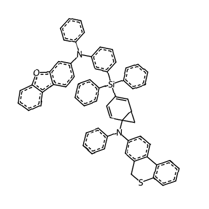 C1=CC2(N(c3ccccc3)c3ccc4c(c3)CSc3ccccc3-4)CC2C=C1[Si](c1ccccc1)(c1ccccc1)c1cccc(N(c2ccccc2)c2ccc3c(c2)oc2ccccc23)c1